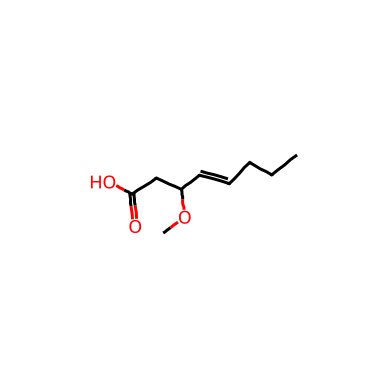 CCC/C=C/C(CC(=O)O)OC